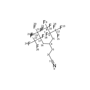 N#CCCC(CC(F)(C(F)(F)F)C(F)(F)F)CC(F)(C(F)(F)F)C(F)(F)F